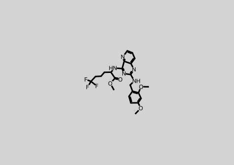 COC(=O)C(CCCC(F)(F)F)Nc1nc(NCc2ccc(OC)cc2OC)nc2cccnc12